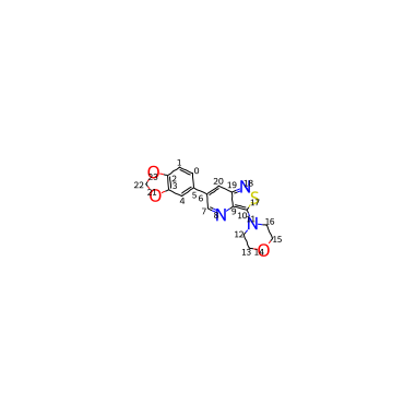 c1cc2c(cc1-c1cnc3c(N4CCOCC4)snc3c1)OCO2